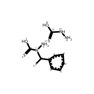 NN(C(O)=S)C(I)c1ccccc1.NNC(O)=S